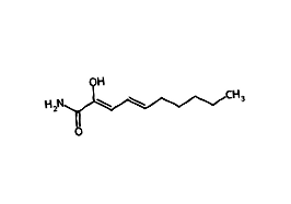 CCCCCC=CC=C(O)C(N)=O